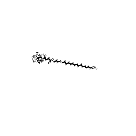 CCCCCCCCCCCCCCCCOCCCOC(=O)CCC(=O)NCC(O)(P(=O)(O)O)P(=O)(O)O